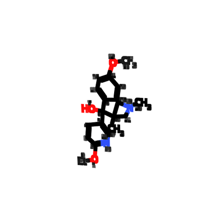 CCOc1ccc(C(O)(c2ccc(OC(F)(F)F)cc2)C2(C)CN(C)C2)cn1